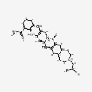 CNC(=O)c1ccccc1Nc1nc(Nc2cc3c(cc2OC)CCN(CC(F)F)CC3)ncc1Cl